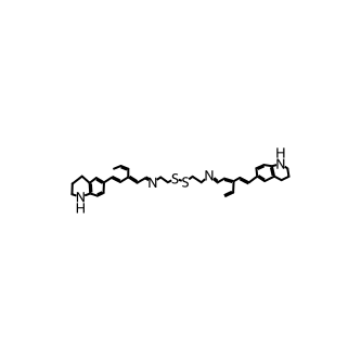 C=CC(/C=C/c1ccc2c(c1)CCCN2)=C\C=N\CCSSCC/N=C/C=C(\C=C/C)/C=C/c1ccc2c(c1)CCCN2